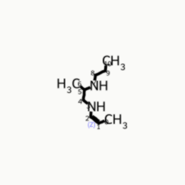 C/C=C\NCC(C)NCCC